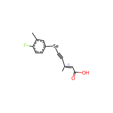 C/C(C#C[Se]c1ccc(F)c(C)c1)=C\C(=O)O